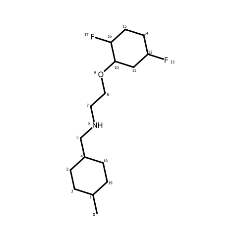 CC1CCC(CNCCOC2CC(F)CCC2F)CC1